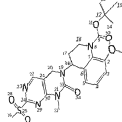 COc1cccc2c1N(C(=O)OC(C)(C)C)CCC2N1Cc2cnc(S(C)(=O)=O)nc2N(C)C1=O